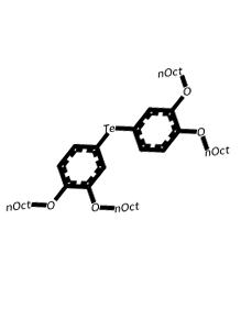 CCCCCCCCOc1ccc([Te]c2ccc(OCCCCCCCC)c(OCCCCCCCC)c2)cc1OCCCCCCCC